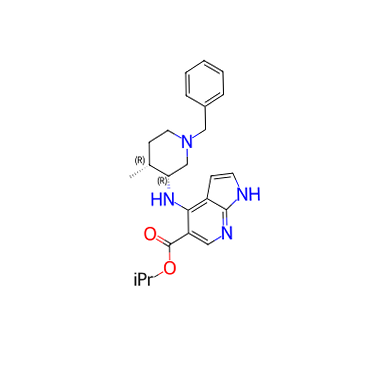 CC(C)OC(=O)c1cnc2[nH]ccc2c1N[C@H]1CN(Cc2ccccc2)CC[C@H]1C